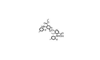 CCOC(=O)c1cn(C)c(=O)cc1Nc1ccc(C)cc1F.CCc1c(Cl)ncc(C(=O)O)c1Nc1ccc(C)cc1F